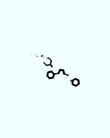 CC(C)(C)OC(=O)N1CCC(Oc2ccccc2-c2ccc(C(=O)Nc3ccccc3)s2)CC1